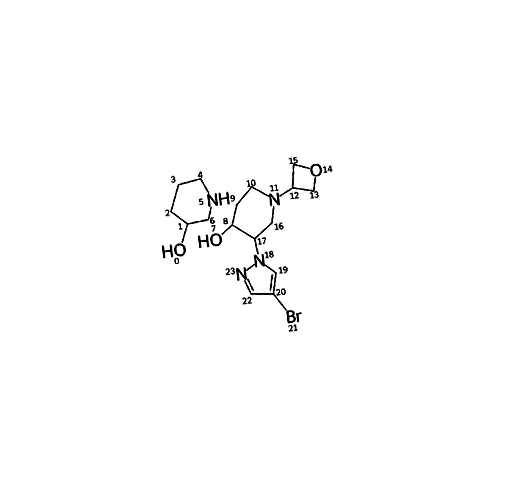 OC1CCCNC1.OC1CCN(C2COC2)CC1n1cc(Br)cn1